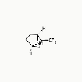 FC(F)(F)[C@H]1C[C@H]2CC[C@@H]1N2